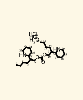 CCCCC(COC(=O)OCC(CCCC)C1CCCCN1)C1CCCCN1.Cl.Cl.O